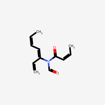 C=C/C(=C\C=C/C)N(C=O)C(=O)/C=C\C